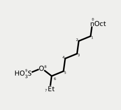 CCCCCCCCCCCCCC(CC)OS(=O)(=O)O